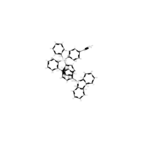 N#Cc1ccc([Si](c2ccccc2)(c2ccccc2)c2ccccc2-c2ccc(-n3c4ccccc4c4ccccc43)cc2)cc1